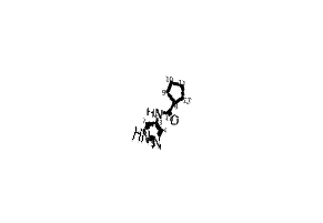 O=C(Nc1cn[nH]c1)C1CCCC1